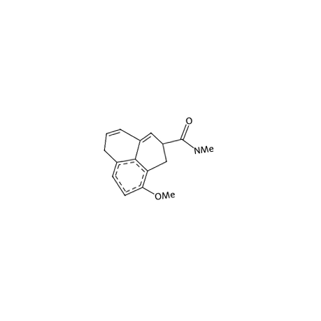 CNC(=O)C1C=C2C=CCc3ccc(OC)c(c32)C1